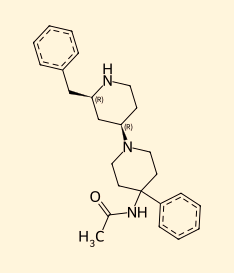 CC(=O)NC1(c2ccccc2)CCN([C@@H]2CCN[C@H](Cc3ccccc3)C2)CC1